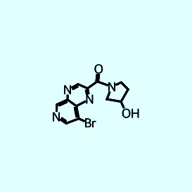 O=C(c1cnc2cncc(Br)c2n1)N1CCC(O)C1